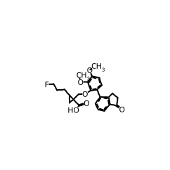 COc1ccc(-c2cccc3c2CCC3=O)c(OCC2(C(=O)O)CC2CCCF)c1OC